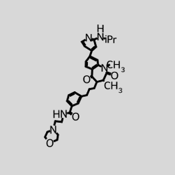 CC(C)Nc1cc(-c2ccc3c(c2)N(C)C(=O)[C@@H](C)C(CCCc2cccc(C(=O)NCCN4CCOCC4)c2)C3=O)ccn1